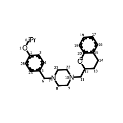 CC(C)Oc1ccc(CN2CCN(CC3CCc4ccccc4O3)CC2)cc1